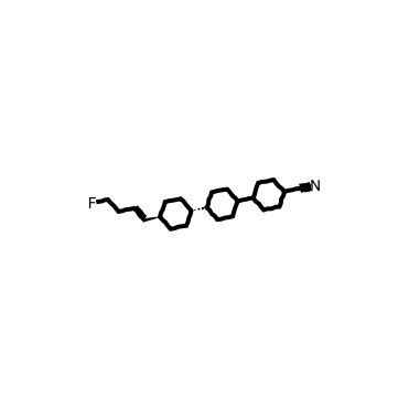 N#CC1CCC(C2CCC([C@H]3CC[C@H](/C=C/CCF)CC3)CC2)CC1